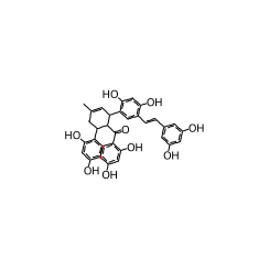 CC1=CC(c2cc(/C=C/c3cc(O)cc(O)c3)c(O)cc2O)C(C(=O)c2ccc(O)cc2O)C(c2ccc(O)cc2O)C1